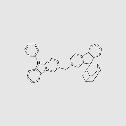 c1ccc(-n2c3ccccc3c3cc(Cc4ccc5c(c4)C4(c6ccccc6-5)C5CC6CC(C5)CC4C6)ccc32)cc1